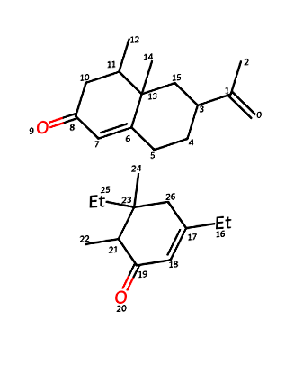 C=C(C)C1CCC2=CC(=O)CC(C)C2(C)C1.CCC1=CC(=O)C(C)C(C)(CC)C1